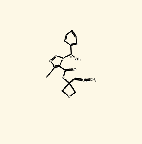 C=C=CC1(OC(=O)c2c(I)nnn2[C@H](C)c2ccccc2)COC1